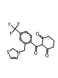 O=C1CCCC(=O)C1C(=O)c1ccc(C(F)(F)F)cc1CN1C=CSC1